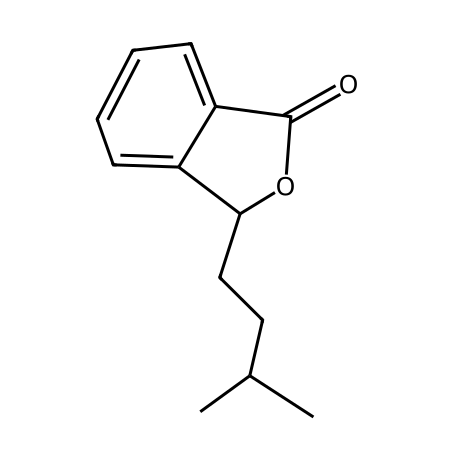 CC(C)CCC1OC(=O)c2ccccc21